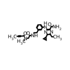 CC#CC(=O)N(C)CC(=O)NCCc1cccc(Nc2nc(C3CC3)c(CC)nc2C(N)=O)c1